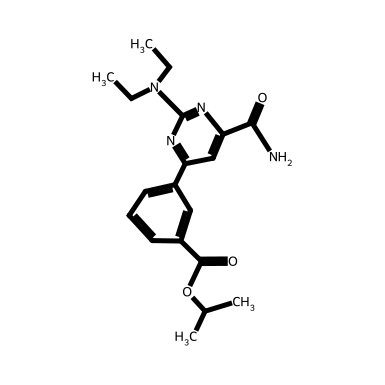 CCN(CC)c1nc(C(N)=O)cc(-c2cccc(C(=O)OC(C)C)c2)n1